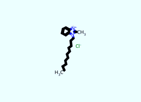 CCCCCCCCCCCCN1C(C)=[N+]c2ccccc21.[Cl-]